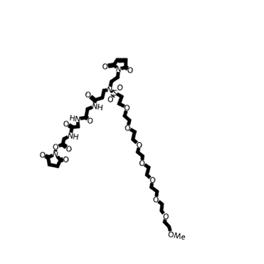 COCCOCCOCCOCCOCCOCCOCCOCCS(=O)(=O)N(CCC(=O)NCC(=O)NCC(=O)NCC(=O)ON1C(=O)CCC1=O)CCN1C(=O)C=CC1=O